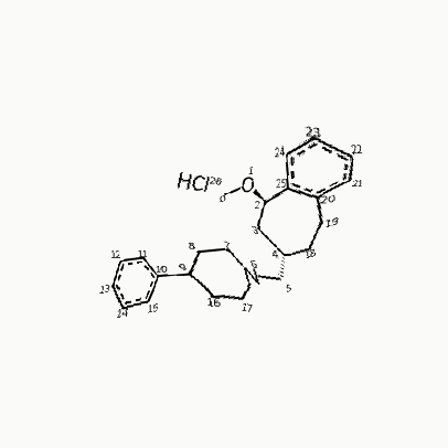 CO[C@@H]1C[C@@H](CN2CCC(c3ccccc3)CC2)CCc2ccccc21.Cl